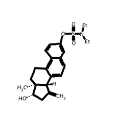 C=C1C[C@H](O)[C@@]2(C)CCc3c(ccc4cc(OS(=O)(=O)N(CC)CC)ccc34)[C@H]12